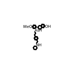 COc1ccc([C@@H]2CCc3cc(O)ccc3C2)c([AsH]CCCc2ccc(CCNC3CCCCC3)cc2)c1